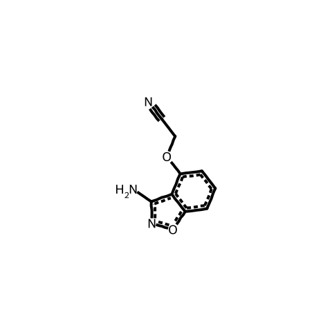 N#CCOc1cccc2onc(N)c12